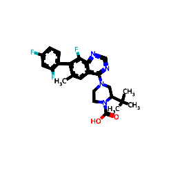 Cc1cc2c(N3CCN(C(=O)O)C(C(C)(C)C)C3)ncnc2c(F)c1-c1ccc(F)cc1F